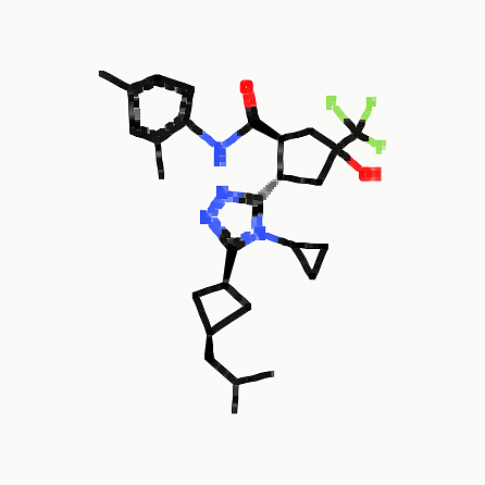 Cc1ccc(NC(=O)[C@H]2CC(O)(C(F)(F)F)C[C@@H]2c2nnc([C@H]3C[C@@H](CC(C)C)C3)n2C2CC2)c(C)c1